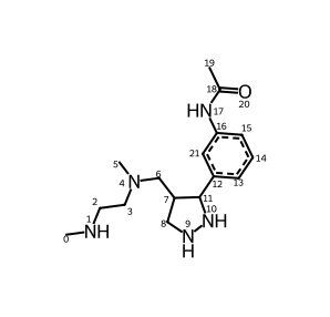 CNCCN(C)CC1CNNC1c1cccc(NC(C)=O)c1